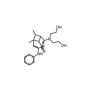 CC1C2C(N(CCO)CCO)=NC(Nc3ccccc3)=CC1(C)C2C#N